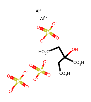 O=C(O)CC(O)(CC(=O)O)C(=O)O.O=S(=O)([O-])[O-].O=S(=O)([O-])[O-].O=S(=O)([O-])[O-].[Al+3].[Al+3]